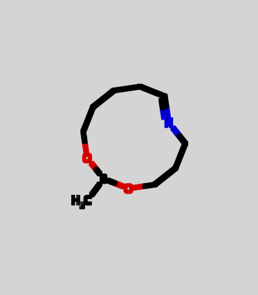 CB1OCCCC/C=N/CCCO1